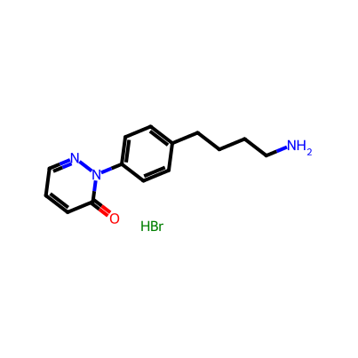 Br.NCCCCc1ccc(-n2ncccc2=O)cc1